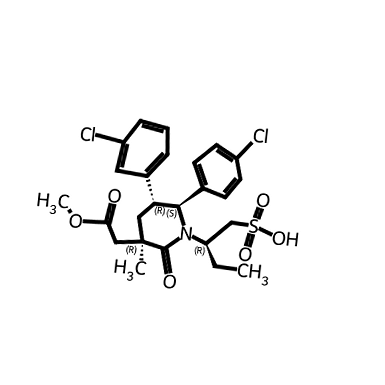 CC[C@H](CS(=O)(=O)O)N1C(=O)[C@@](C)(CC(=O)OC)C[C@H](c2cccc(Cl)c2)[C@H]1c1ccc(Cl)cc1